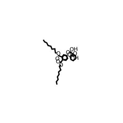 CCCCCCCCOC(=O)c1ccccc1C(=O)OCCCCCCCC.O=C(O)C12CCCCC1(C(=O)O)O2